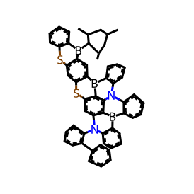 CC1CC(C)C(B2c3ccccc3Sc3cc4c(cc32)B2c3ccccc3N3c5ccccc5B5c6ccccc6N(c6ccccc6-c6ccccc6)c6cc(c2c3c65)S4)C(C)C1